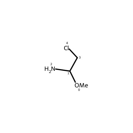 COC(N)CCl